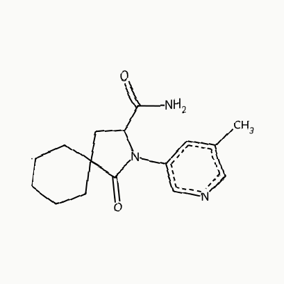 Cc1cncc(N2C(=O)C3(C[CH]CCC3)CC2C(N)=O)c1